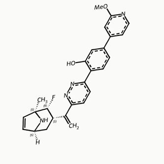 C=C(c1ccc(-c2ccc(-c3ccnc(OC)c3)cc2O)nn1)[C@@H]1C[C@H]2C=C[C@](C)(N2)[C@@H]1F